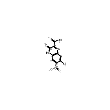 O=C(O)c1nc2cc(Cl)c([N+](=O)[O-])cc2[nH]c1=O